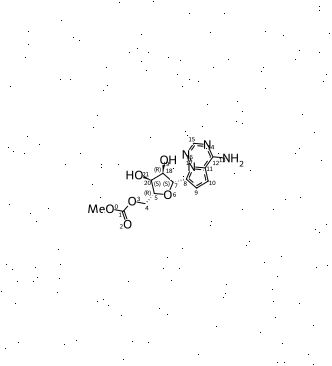 COC(=O)OC[C@H]1O[C@@H](c2ccc3c(N)ncnn23)[C@H](O)[C@@H]1O